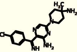 CC1(N)CCN(c2cnc(C(=N)c3ccc(Cl)cc3)c(N)n2)CC1